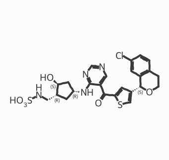 O=C(c1cc([C@H]2OCCc3ccc(Cl)cc32)cs1)c1cncnc1N[C@@H]1C[C@H](CNS(=O)(=O)O)[C@@H](O)C1